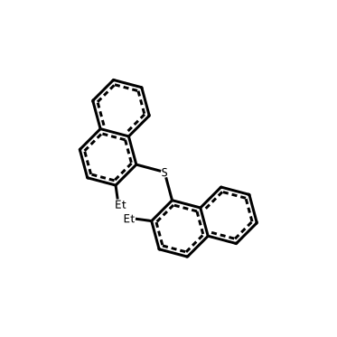 CCc1ccc2ccccc2c1Sc1c(CC)ccc2ccccc12